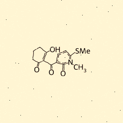 CSc1ccc(C(=O)C2=C(O)CCCC2=O)c(=O)n1C